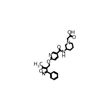 Cc1onc(-c2ccccc2)c1COc1ccc(C(=O)NC2CCCN(CC(=O)O)C2)cn1